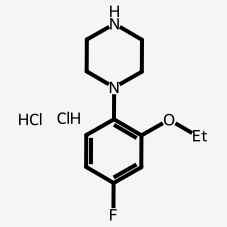 CCOc1cc(F)ccc1N1CCNCC1.Cl.Cl